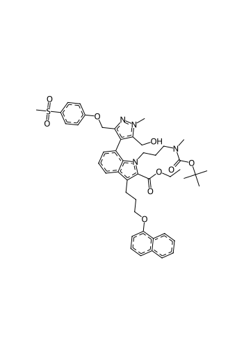 CCOC(=O)c1c(CCCOc2cccc3ccccc23)c2cccc(-c3c(COc4ccc(S(C)(=O)=O)cc4)nn(C)c3CO)c2n1CCCN(C)C(=O)OC(C)(C)C